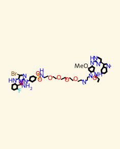 C=CC(=O)Nc1cc(Nc2nccc(-c3cn(C)c4ccccc34)n2)c(OC)cc1N(C)CCN(C)CCOCCOCCOCCOCCNS(=O)(=O)c1ccc(Nc2ncc(Br)c(Nc3cccc(F)c3C(N)=O)n2)cc1